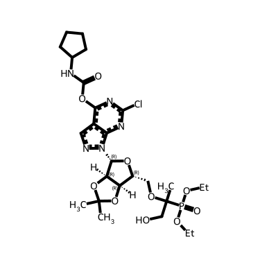 CCOP(=O)(OCC)C(C)(CO)OC[C@H]1O[C@@H](n2ncc3c(OC(=O)NC4CCCC4)nc(Cl)nc32)[C@@H]2OC(C)(C)O[C@@H]21